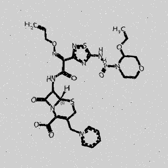 C=CCON=C(C(=O)NC1C(=O)N2C(C(=O)[O-])=C(C[n+]3ccccc3)CS[C@@H]12)c1nsc(N[PH](=O)N2CCOCC2OCC)n1